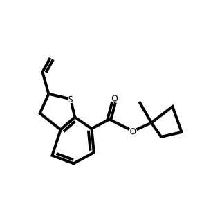 C=CC1Cc2cccc(C(=O)OC3(C)CCC3)c2S1